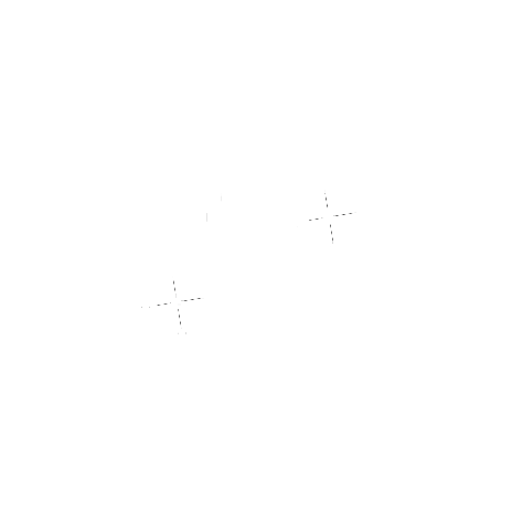 [Li+].[Li+].[Li+].[Li+].[Li+].[Li+].[Li+].[Li+].[O-][Si]([O-])([O-])[O-].[O-][Si]([O-])([O-])[O-]